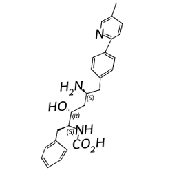 Cc1ccc(-c2ccc(C[C@H](N)C[C@@H](O)[C@H](Cc3ccccc3)NC(=O)O)cc2)nc1